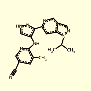 Cc1cc(C#N)cnc1Nc1c[nH]nc1-c1cc2c(cn1)cnn2C(C)C